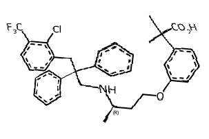 C[C@H](CCOc1cccc(C(C)(C)C(=O)O)c1)NCC(Cc1cccc(C(F)(F)F)c1Cl)(c1ccccc1)c1ccccc1